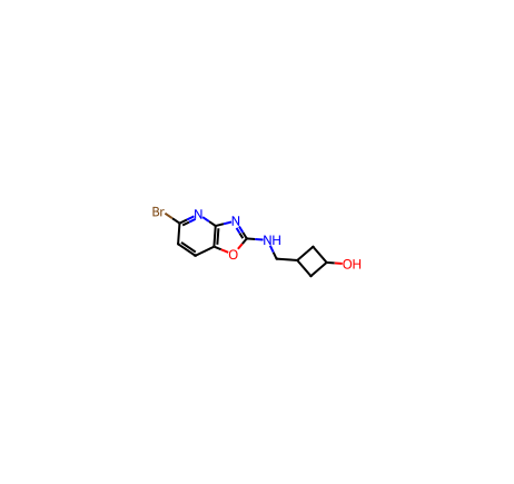 OC1CC(CNc2nc3nc(Br)ccc3o2)C1